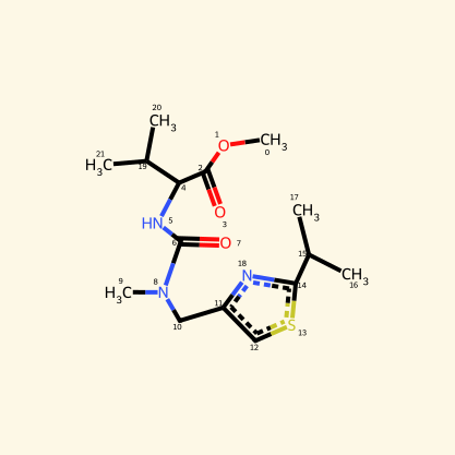 COC(=O)C(NC(=O)N(C)Cc1csc(C(C)C)n1)C(C)C